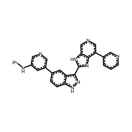 CC(C)Nc1cncc(-c2ccc3[nH]nc(-c4nc5c(-c6cccnc6)cncc5[nH]4)c3c2)c1